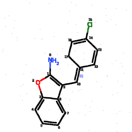 Nc1oc2ccccc2c1/C=C1/C=CC(Cl)=CC1